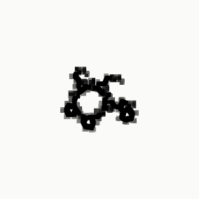 CN1C(=O)[C@H](CCCN)NC(=O)[C@H](CCCN)NCc2ccccc2Sc2ccccc2CNC(=O)[C@@H]1CCc1c[nH]c2ccccc12